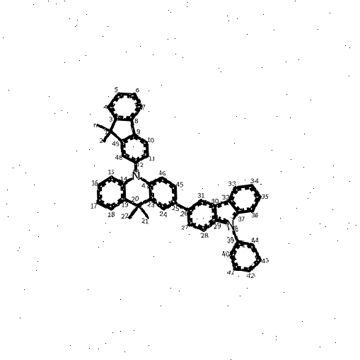 CC1(C)c2ccccc2-c2ccc(N3c4ccccc4C(C)(C)c4cc(-c5ccc6c(c5)c5ccccc5n6-c5ccccc5)ccc43)cc21